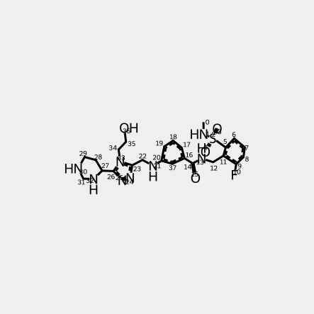 CNS(=O)(=O)c1cccc(F)c1CNC(=O)c1cccc(NCc2nnc(C3CCNCN3)n2CCO)c1